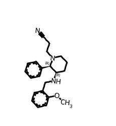 COc1ccccc1CN[C@@H]1CCCN(CCC#N)[C@@H]1c1ccccc1